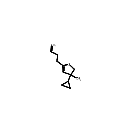 C=CCCC1=CC(C)(C2CC2)CS1